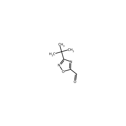 CC(C)(C)c1noc(C=O)n1